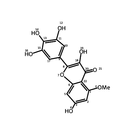 COc1cc(O)cc2oc(-c3cc(O)c(O)c(O)c3)c(O)c(=O)c12